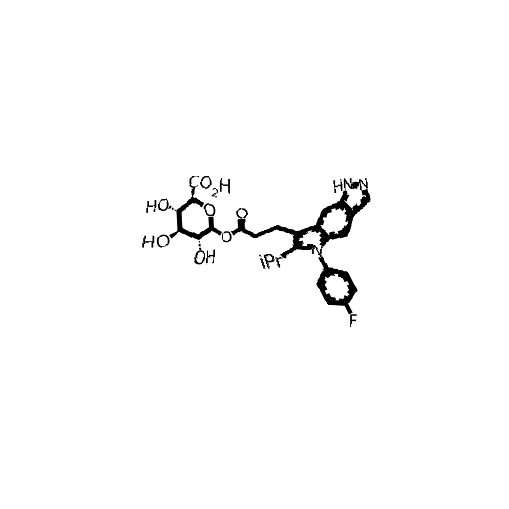 CC(C)c1c(CCC(=O)OC2O[C@H](C(=O)O)[C@@H](O)[C@H](O)[C@H]2O)c2cc3[nH]ncc3cc2n1-c1ccc(F)cc1